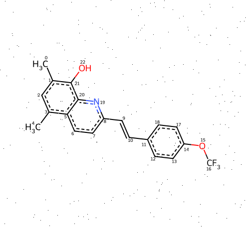 Cc1cc(C)c2ccc(/C=C/c3ccc(OC(F)(F)F)cc3)nc2c1O